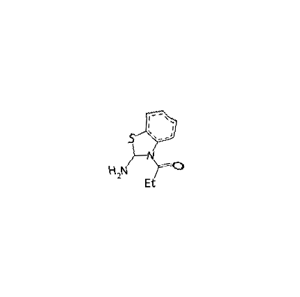 CCC(=O)N1c2ccccc2SC1N